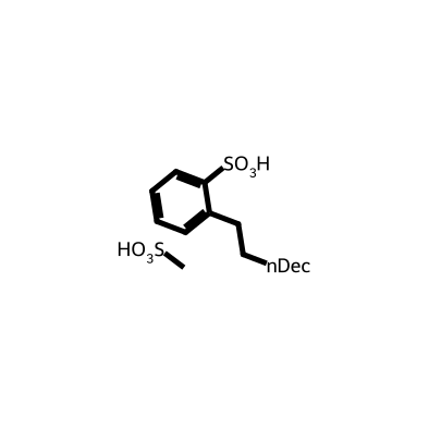 CCCCCCCCCCCCc1ccccc1S(=O)(=O)O.CS(=O)(=O)O